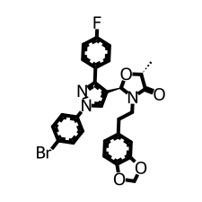 C[C@H]1O[C@H](c2cn(-c3ccc(Br)cc3)nc2-c2ccc(F)cc2)N(CCc2ccc3c(c2)OCO3)C1=O